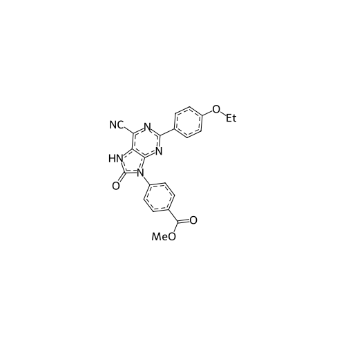 CCOc1ccc(-c2nc(C#N)c3[nH]c(=O)n(-c4ccc(C(=O)OC)cc4)c3n2)cc1